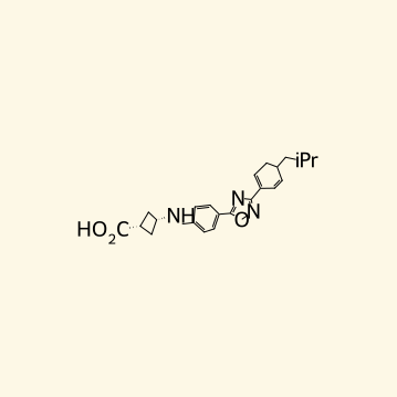 CC(C)CC1C=CC(c2noc(-c3ccc(CN[C@H]4C[C@@H](C(=O)O)C4)cc3)n2)=CC1